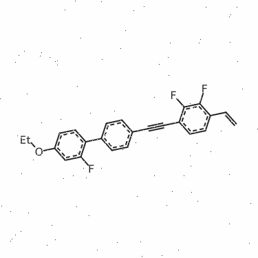 C=Cc1ccc(C#Cc2ccc(-c3ccc(OCC)cc3F)cc2)c(F)c1F